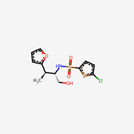 C[C@@H](c1ccco1)[C@@H](CO)NS(=O)(=O)c1ccc(Cl)s1